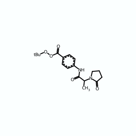 CC(C(=O)Nc1ccc(C(=O)OOC(C)(C)C)cc1)N1CCCC1=O